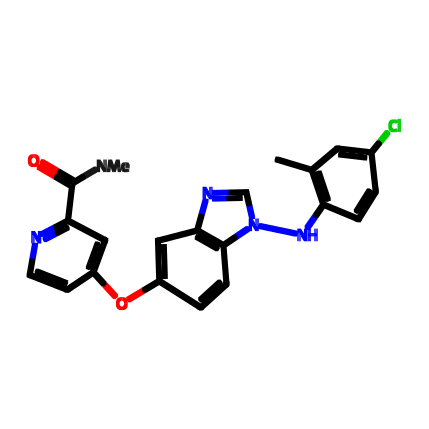 CNC(=O)c1cc(Oc2ccc3c(c2)ncn3Nc2ccc(Cl)cc2C)ccn1